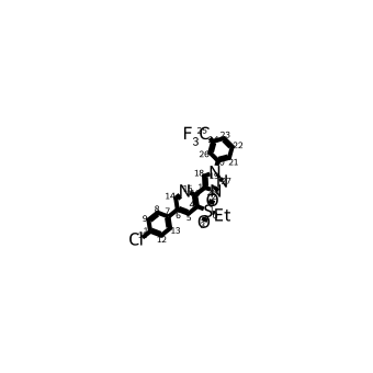 CCS(=O)(=O)c1cc(-c2ccc(Cl)cc2)cnc1-c1cn(-c2cccc(C(F)(F)F)c2)nn1